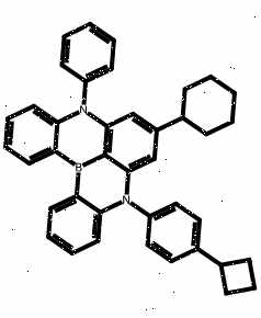 c1ccc(N2c3ccccc3B3c4ccccc4N(c4ccc(C5CCC5)cc4)c4cc(C5CCCCC5)cc2c43)cc1